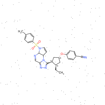 CC[C@@H]1C[C@@H](Oc2ccc(C#N)cc2)C[C@@H]1c1nnc2n1C1C=CN(S(=O)(=O)c3ccc(C)cc3)C1N=C2